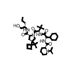 CCC[C@@H](CO)NC(=O)[C@@H]1C[C@@]2(CN1C(=O)[C@@H](NC(=O)[C@@H](NC(=O)[C@@H]1CCCCN1C(C)C)C1CCCCC1)C(C)(C)C)C(C)(C)C21CCC1